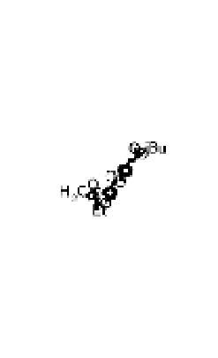 C=C1CC(C(CC)Oc2ccc(C(=O)Oc3ccc(/C=C/C(=O)OC(C)CC)cc3)cc2)OC1=O